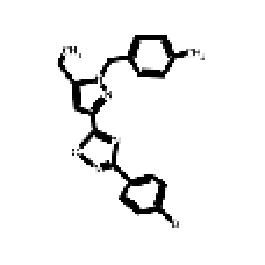 CCc1cc(-c2nc(-c3ccc(Br)cc3)no2)nn1Cc1ccc(C)cc1